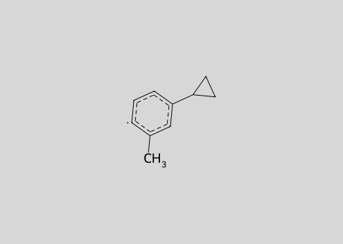 Cc1[c]ccc(C2CC2)c1